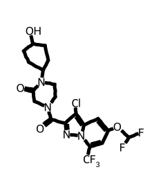 O=C(c1nn2c(C(F)(F)F)cc(OC(F)F)cc2c1Cl)N1CCN(C2CCC(O)CC2)C(=O)C1